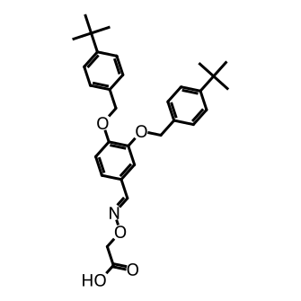 CC(C)(C)c1ccc(COc2ccc(/C=N/OCC(=O)O)cc2OCc2ccc(C(C)(C)C)cc2)cc1